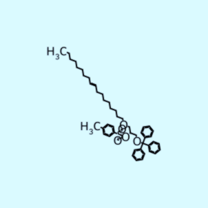 CCCCCCCCC=CCCCCCCCCOCC(COC(c1ccccc1)(c1ccccc1)c1ccccc1)OS(=O)(=O)c1ccc(C)cc1